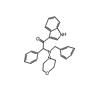 O=C(c1c[nH]c2ccccc12)C(c1ccccc1)N(Cc1ccccc1)N1CCOCC1